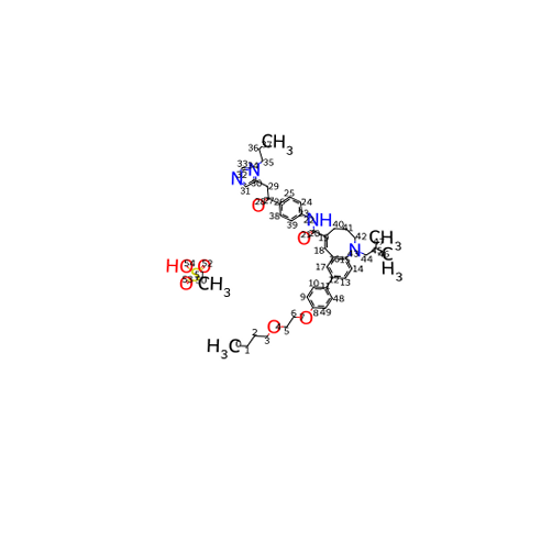 CCCCOCCOc1ccc(-c2ccc3c(c2)C=C(C(=O)Nc2ccc(C(=O)Cc4cncn4CCC)cc2)CCCN3CC(C)C)cc1.CS(=O)(=O)O